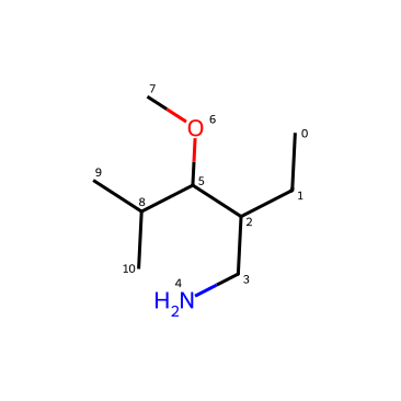 CCC(CN)C(OC)C(C)C